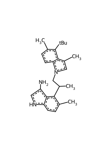 Cc1ccc2[nH]cc(N)c2c1C(C)Cn1cc(C)c2c(C(C)(C)C)c(C)ccc21